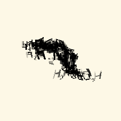 C[C@H](NC(=O)[C@@H]1CCCN1C(=O)[C@H](CC(N)=O)NC(=O)[C@H](CS)NC(=O)[C@@H](N)CS)C(=O)N[C@@H](CS)C(=O)NCC(=O)N[C@@H](CCCCN)C(=O)N[C@@H](CC(N)=O)C(=O)N[C@@H](Cc1ccc(O)cc1)C(=O)N[C@@H](CO)C(=O)N[C@@H](CS)C(=O)O